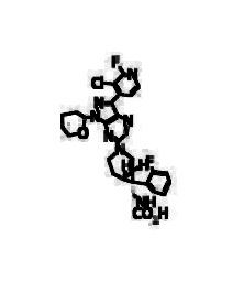 O=C(O)NC[C@]1(c2ccccc2F)[C@@H]2CCN(c3cnc4c(-c5ccnc(F)c5Cl)nn(C5CCCCO5)c4n3)C[C@@H]21